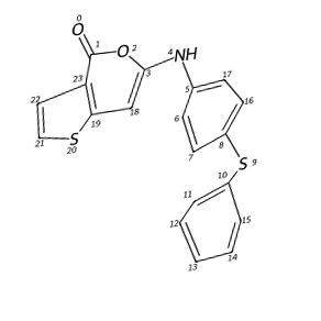 O=c1oc(Nc2ccc(Sc3ccccc3)cc2)cc2sccc12